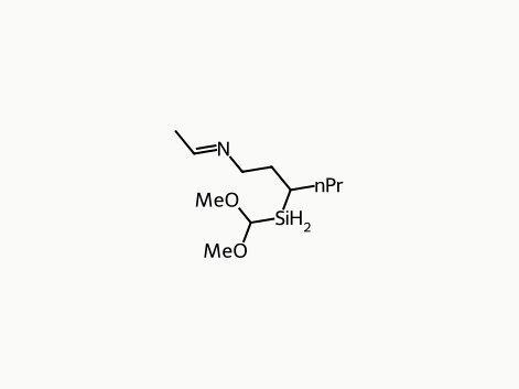 CC=NCCC(CCC)[SiH2]C(OC)OC